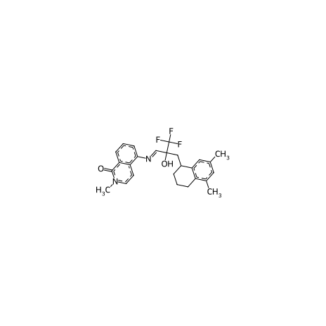 Cc1cc(C)c2c(c1)C(CC(O)(C=Nc1cccc3c(=O)n(C)ccc13)C(F)(F)F)CCC2